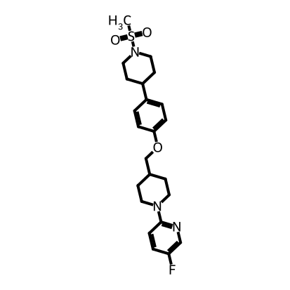 CS(=O)(=O)N1CCC(c2ccc(OCC3CCN(c4ccc(F)cn4)CC3)cc2)CC1